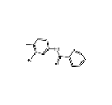 Cc1ccc(NC(=O)c2ccccc2)cc1O